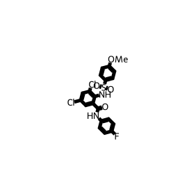 COc1ccc(S(=O)(=O)Nc2c(Cl)cc(Cl)cc2C(=O)Nc2ccc(F)cc2)cc1